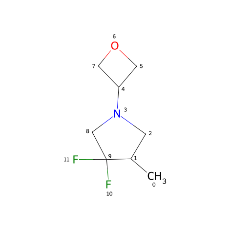 CC1CN(C2COC2)CC1(F)F